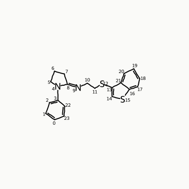 c1ccc(N2CCCC2=NCCSc2csc3ccccc23)cc1